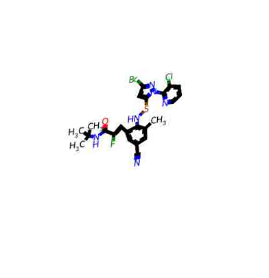 Cc1cc(C#N)cc(/C=C(\F)C(=O)NC(C)(C)C)c1NSc1cc(Br)nn1-c1ncccc1Cl